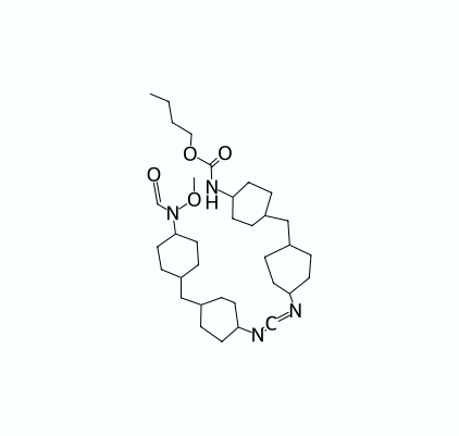 CCCCOC(=O)NC1CCC(CC2CCC(N=C=NC3CCC(CC4CCC(N(C=O)OC)CC4)CC3)CC2)CC1